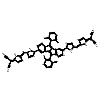 Cc1cccc(C)c1C1=C2C(=C(c3c(C)cccc3C)c3ccc(C4C=CC(/C=c5\ccc(=C(C#N)C#N)s5)S4)cc32)c2cc(C3C=CC(/C=c4\ccc(=C(C#N)C#N)s4)S3)ccc21